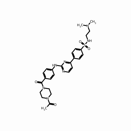 CC(=O)N1CCN(C(=O)c2ccc(Nc3nccc(-c4ccc(S(=O)(=O)NCCN(C)C)cc4)n3)cc2)CC1